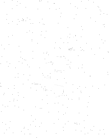 CC1CN(C(=O)OC(C)(C)C)CCN1c1nc(Cl)nc2c1CN(C(=O)O)C2